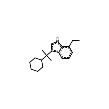 CCc1cccc2c(C(C)(C)C3CCCCC3)c[nH]c12